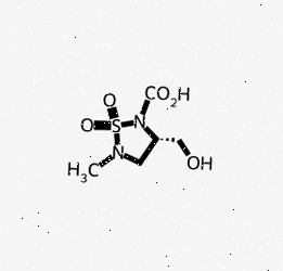 CN1C[C@@H](CO)N(C(=O)O)S1(=O)=O